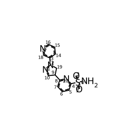 NS(=O)(=O)c1cccc(C2C=NN(c3cccnc3)C2)n1